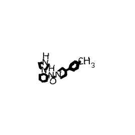 Cc1ccc(C2CCN(C(=O)N[C@H]3CCCCC3N3CCNCC3)CC2)cc1